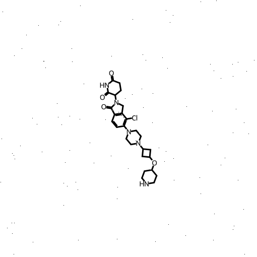 O=C1CCC(N2Cc3c(ccc(N4CCN(C5CC(OC6CCNCC6)C5)CC4)c3Cl)C2=O)C(=O)N1